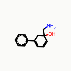 NCC1(O)C=CC=C(c2ccccc2)C1